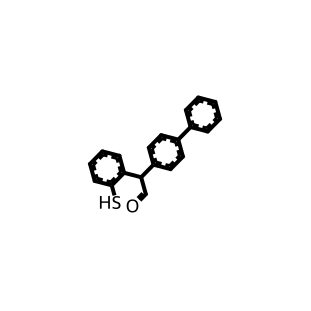 O=CC(c1ccc(-c2ccccc2)cc1)c1ccccc1S